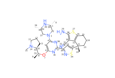 C[C@@H]1CN(c2cc(O[C@@H](C)[C@@H]3CCCN3C)nc(-c3cc([C@@]4(C)CCCc5sc(N)c(C#N)c54)sn3)n2)C[C@H](C)N1